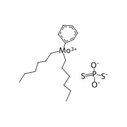 CCCCC[CH2][Mo+3]([CH2]CCCCC)[c]1ccccc1.[O-]P([O-])(=S)[S-]